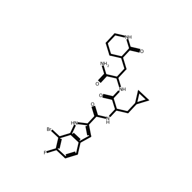 NC(=O)C(CC1CCCNC1=O)NC(=O)C(CC1CC1)NC(=O)c1cc2ccc(F)c(Br)c2[nH]1